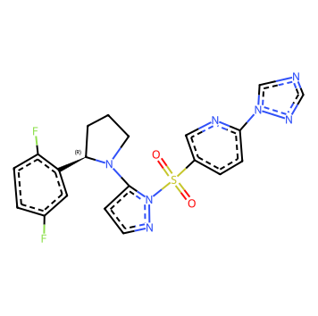 O=S(=O)(c1ccc(-n2cncn2)nc1)n1nccc1N1CCC[C@@H]1c1cc(F)ccc1F